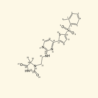 Cc1ccccc1S(=O)(=O)c1ccc(-c2ccnc(NCCN3C(=O)NC(=O)C3(C)C)n2)s1